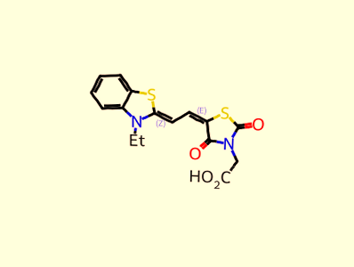 CCN1/C(=C/C=C2/SC(=O)N(CC(=O)O)C2=O)Sc2ccccc21